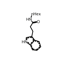 CCCCCCNC(=O)CCc1c[nH]c2ccccc12